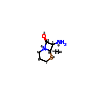 NC1C(=O)N2CCCS[C@H]12